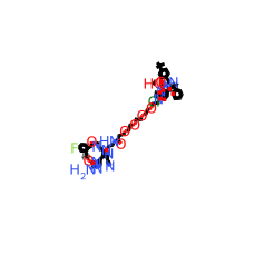 CCOc1cc(C(C)(C)C)ccc1C1=N[C@](C)(c2ccccc2)[C@](C)(c2ccc(Cl)cc2)N1C(O)N1CCN(CCOCCOCCOCCOCCC(=O)NCCn2nc(C#N)c3c2CN(C)C(=O)c2ccc(F)cc2[C@@H](C)Oc2nc-3cnc2N)CC1